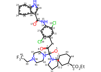 CCOC(=O)[C@H]1CC[C@H](OC(C(=O)Cc2cc(Cl)c(NC(=O)c3c[nH]c4ccccc34)cc2Cl)(N2CCCC2)N2CCN(CC(F)(F)F)CC2)CC1